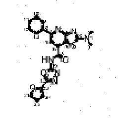 CN(C)c1nc2nc(-c3ccccc3)cc(C(=O)Nc3nnc(-c4ccco4)o3)c2s1